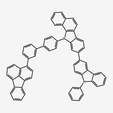 c1ccc(-n2c3ccccc3c3cc(-c4ccc5c6ccc7ccccc7c6n(-c6ccc(-c7cccc(-c8ccc9c%10c(cccc8%10)-c8ccccc8-9)c7)cc6)c5c4)ccc32)cc1